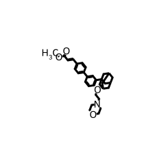 COC(=O)/C=C/c1ccc(-c2ccc(OCCN3CCOCC3)c(C34CC5CC(CC(C5)C3)C4)c2)cc1